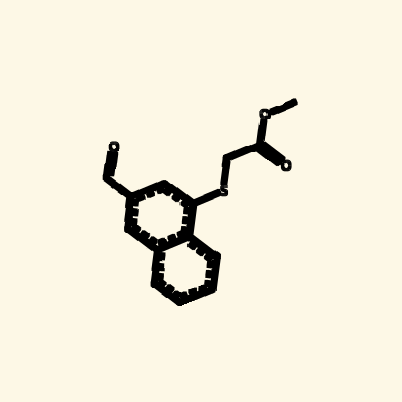 COC(=O)CSc1cc(C=O)cc2ccccc12